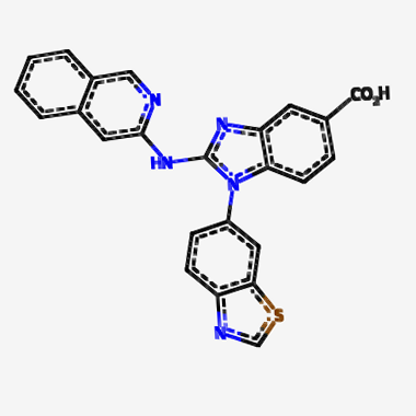 O=C(O)c1ccc2c(c1)nc(Nc1cc3ccccc3cn1)n2-c1ccc2ncsc2c1